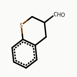 O=CC1CSc2ccccc2C1